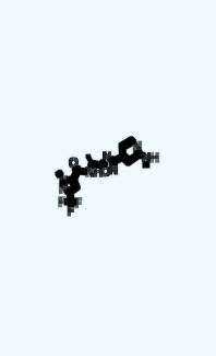 CNc1cc(-c2noc([C@H](C)NC(=O)c3cc(C(F)(F)F)nn3C)n2)ccn1